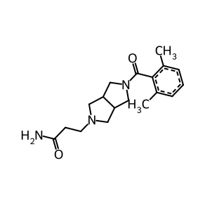 Cc1cccc(C)c1C(=O)N1CC2CN(CCC(N)=O)CC2C1